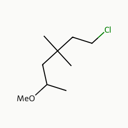 COC(C)CC(C)(C)CCCl